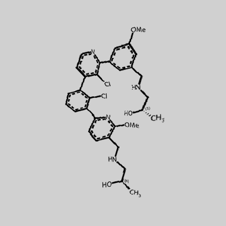 COc1cc(CNC[C@H](C)O)cc(-c2nccc(-c3cccc(-c4ccc(CNC[C@@H](C)O)c(OC)n4)c3Cl)c2Cl)c1